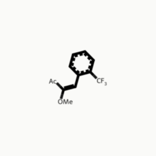 COC(=Cc1ccccc1C(F)(F)F)C(C)=O